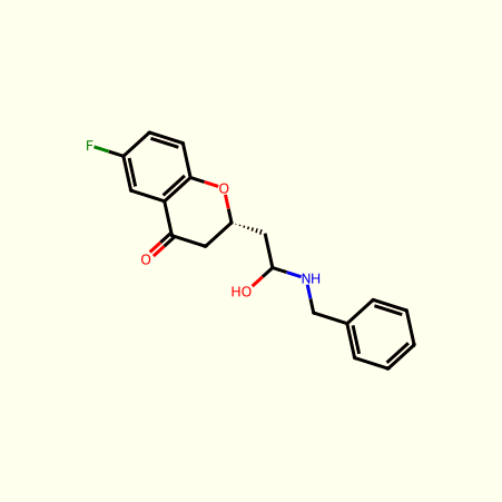 O=C1C[C@@H](CC(O)NCc2ccccc2)Oc2ccc(F)cc21